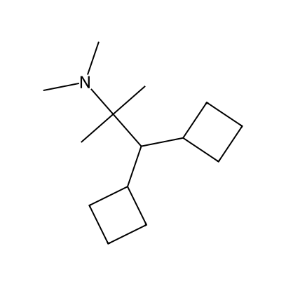 CN(C)C(C)(C)C(C1CCC1)C1CCC1